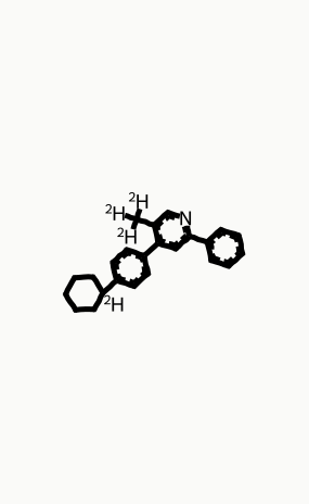 [2H]C([2H])([2H])c1cnc(-c2ccccc2)cc1-c1ccc(C2([2H])CCCCC2)cc1